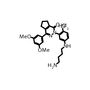 COc1cc(OC)cc(-c2nn(-c3cc(NCCCCN)ccc3C(F)(F)F)c(=O)c3c2CCC3)c1.Cl